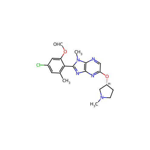 Cc1cc(Cl)cc(OC=O)c1-c1nc2nc(O[C@@H]3CCN(C)C3)cnc2n1C